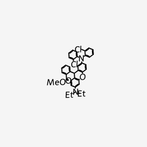 CCN(CC)c1ccc2c(c1)Oc1ccc(N(c3ccccc3Cl)c3ccccc3Cl)cc1C2c1ccccc1C(=O)OC